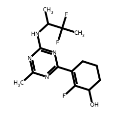 Cc1nc(NC(C)C(C)(F)F)nc(C2=C(F)C(O)CCC2)n1